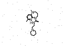 C=C(NCCN1CCCCC1)N1CCCN(C)c2ccc(C)nc21